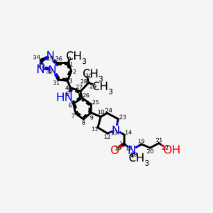 Cc1cc(-c2[nH]c3ccc(C4CCN(CC(=O)N(C)CCCO)CC4)cc3c2C(C)C)cn2ncnc12